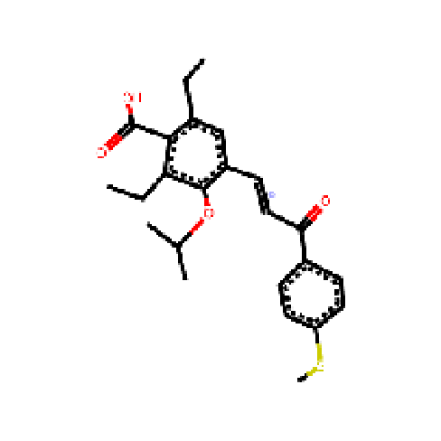 CCc1cc(/C=C/C(=O)c2ccc(SC)cc2)c(OC(C)C)c(CC)c1C(=O)O